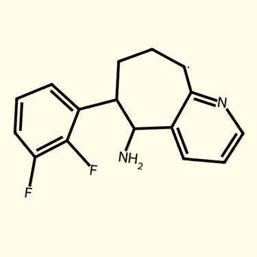 NC1c2cccnc2[CH]CCC1c1cccc(F)c1F